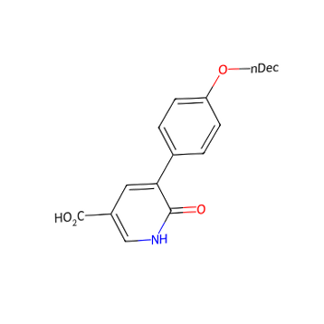 CCCCCCCCCCOc1ccc(-c2cc(C(=O)O)c[nH]c2=O)cc1